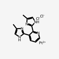 Cc1c[nH]c(-c2cccnc2-c2nc(C)c[nH]2)n1.[Cl-].[Cl-].[Pt+2]